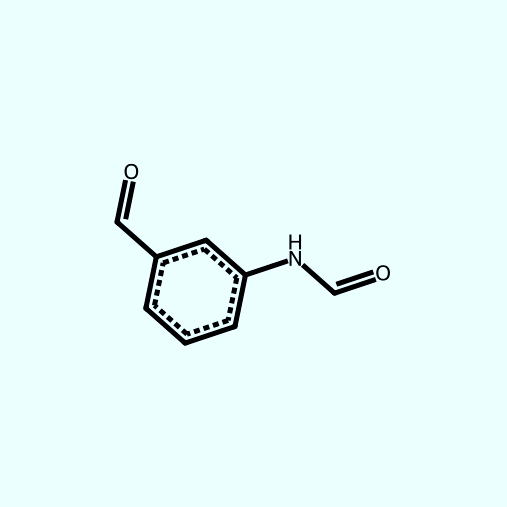 O=CNc1cccc(C=O)c1